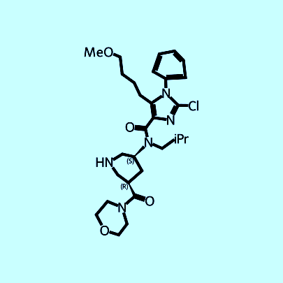 COCCCCc1c(C(=O)N(CC(C)C)[C@@H]2CNC[C@H](C(=O)N3CCOCC3)C2)nc(Cl)n1-c1ccccc1